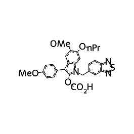 CCCOc1cc2c(cc1OC)c(-c1ccc(OC)cc1)c(OC(=O)O)n2Cc1ccc2nsnc2c1